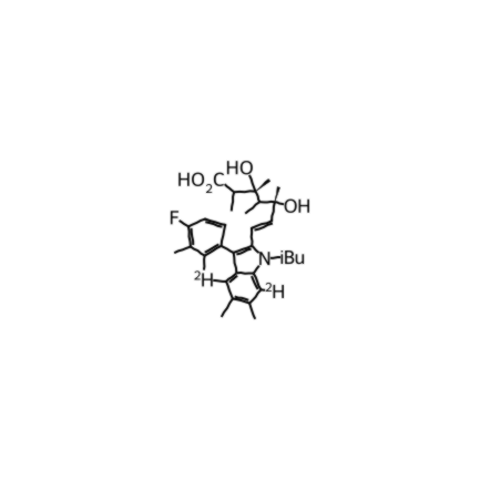 [2H]c1c(C)c(C)c([2H])c2c1c(-c1ccc(F)c(C)c1C)c(/C=C/[C@@](C)(O)C(C)[C@@](C)(O)C(C)C(=O)O)n2C(C)CC